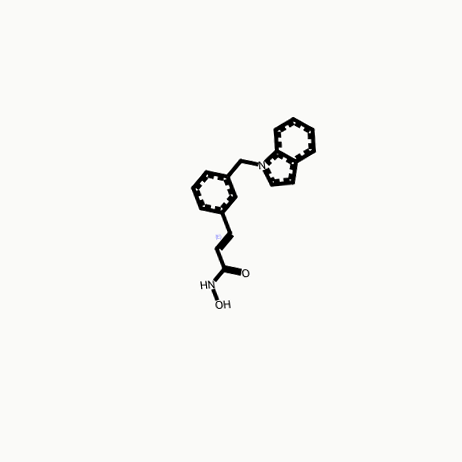 O=C(/C=C/c1cccc(Cn2ccc3ccccc32)c1)NO